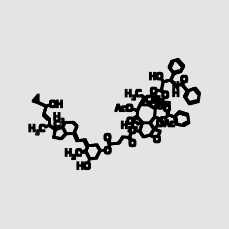 C=C1/C(=C\C=C2/CCC[C@@]3(C)C2CCC3[C@@H](C)/C=C/C(O)C2CC2)C[C@@H](OC(=O)CCC(=O)OC2CC3OCC3(OC(C)=O)C3C(OC(=O)c4ccccc4)C4(O)CC(OC(=O)C(O)C(NC(=O)c5ccccc5)c5ccccc5)C(C)=C(C(OC(C)=O)C(=O)C23C)C4(C)C)C[C@@H]1O